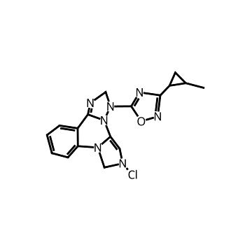 CC1CC1c1noc(N2CN=C3c4ccccc4N4CN(Cl)C=C4N32)n1